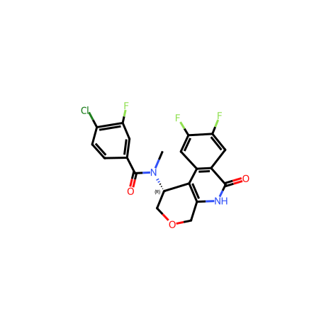 CN(C(=O)c1ccc(Cl)c(F)c1)[C@H]1COCc2[nH]c(=O)c3cc(F)c(F)cc3c21